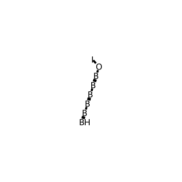 B=BB=BB=BOI